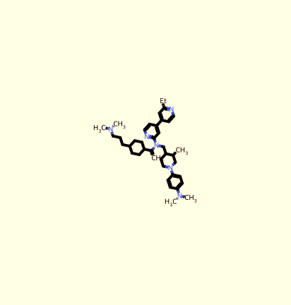 C=C(C1CCC(CCCN(C)C)CC1)N(CC1CCN(c2ccc(N(C)C)cc2)CC1C)c1cc(-c2ccnc(CC)c2)ccn1